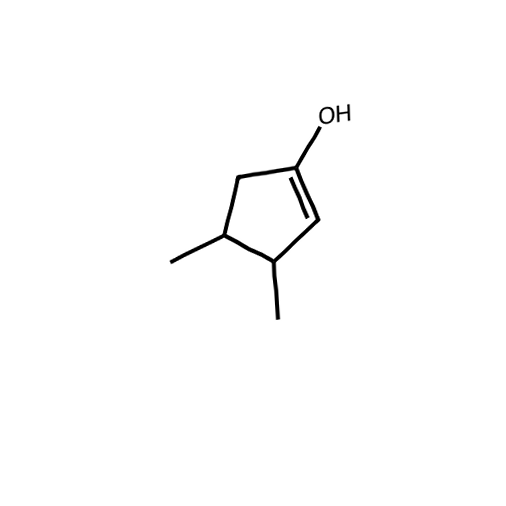 CC1C=C(O)CC1C